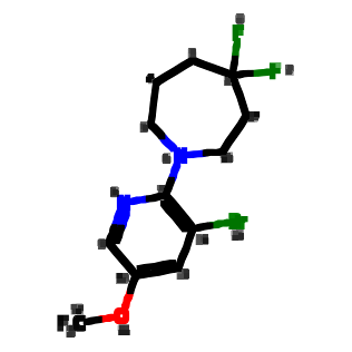 FC1(F)CCCN(c2ncc(OC(F)(F)F)cc2Br)CC1